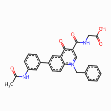 CC(=O)Nc1cccc(-c2ccc3c(c2)c(=O)c(C(=O)NCC(=O)O)cn3Cc2ccccc2)c1